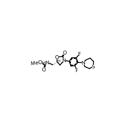 COC(=O)NC[C@H]1CN(c2cc(F)c(N3CCCSCC3)c(F)c2)C(=O)O1